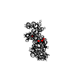 COCC1O[C@@H](O[C@H]2C(OC)C(OC)CO[C@H]2COC)C(OC)[C@@H](OC)[C@@H]1O[C@H]1OC(CN2C(=O)c3ccccc3C2=O)[C@@H](O[C@@H]2O[C@@H](COC(C)=O)[C@@H](O[C@H]3O[C@@H](COC(C)=O)[C@@H](OC(C)=O)C(OC(C)=O)C3OC(C)=O)C(OC(C)=O)C2OC(C)=O)[C@H](OC)C1OC